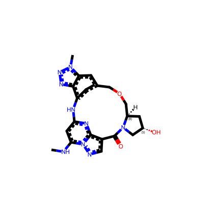 CNc1cc2nc3c(cnn13)C(=O)N1C[C@@H](O)C[C@@H]1COCc1cc(c3nnn(C)c3c1)N2